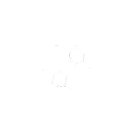 CSc1nc(Cl)c([N+](=O)[O-])c(Oc2cc(C#N)ccc2C(=O)O)n1